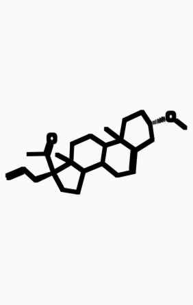 C=CC[C@]1(C(C)=O)CCC2C3CC=C4C[C@@H](OC)CCC4(C)C3CCC21C